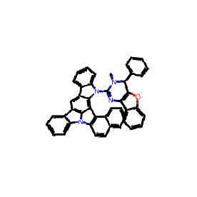 CN1C(n2c3ccccc3c3cc4c5ccccc5n5c6ccc7ccccc7c6c(c32)c45)=Nc2c(oc3ccccc23)C1c1ccccc1